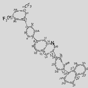 FC(F)(F)c1cc(-c2ccc(-c3ccc4cc(-c5ccc(-c6cccc7ccccc67)cc5)cnc4c3)cc2)cc(C(F)(F)F)c1